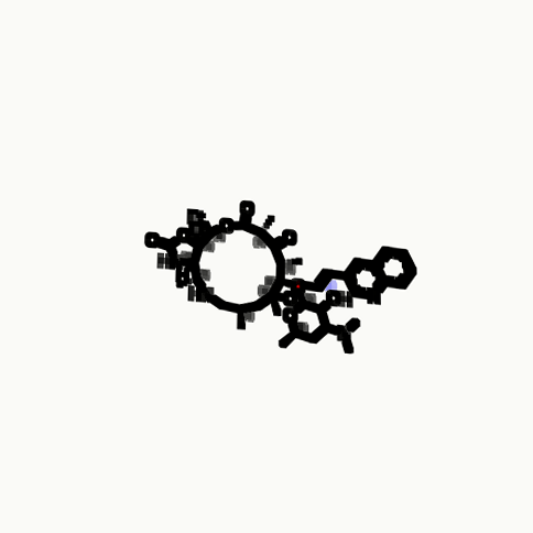 CC[C@H]1OC(=O)[C@H](C)C(=O)[C@H](C)[C@@H](O[C@@H]2O[C@H](C)CC(N(C)C)C2O)[C@](C)(OC/C=C/c2cnc3ccccc3c2)C[C@@H](C)CN[C@H](C)[C@H]2NC(=O)O[C@@]21CC